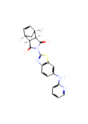 O=C1[C@@H]2[C@H](C(=O)N1c1nc3ccc(Nc4ccccn4)cc3s1)[C@@H]1C=C[C@H]2C1